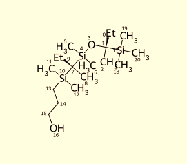 CC[C@@](C)(O[Si](C)(C)[C@@](C)(CC)[Si](C)(C)CCCO)[Si](C)(C)C